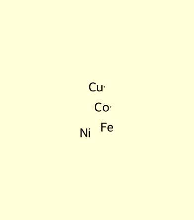 [Co].[Cu].[Fe].[Ni]